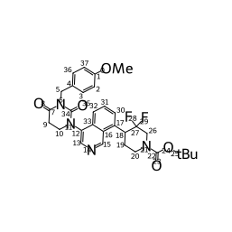 COc1ccc(CN2C(=O)CCN(c3cncc4c(C5CCN(C(=O)OC(C)(C)C)CC5(F)F)cccc34)C2=O)cc1